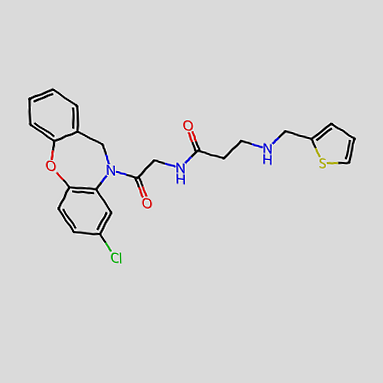 O=C(CCNCc1cccs1)NCC(=O)N1Cc2ccccc2Oc2ccc(Cl)cc21